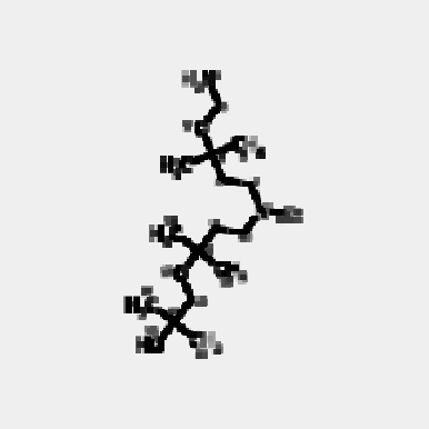 CCN(CCC(C)(C)OCN)CCC(C)(C)OCC(C)(C)O